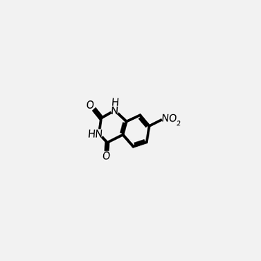 O=c1[nH]c(=O)c2ccc([N+](=O)[O-])cc2[nH]1